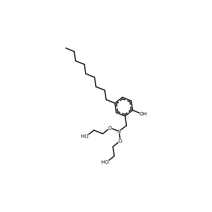 CCCCCCCCCc1ccc(O)c(CN(OCCO)OCCO)c1